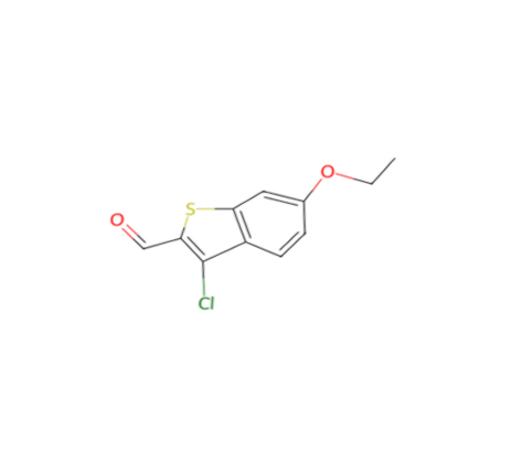 CCOc1ccc2c(Cl)c(C=O)sc2c1